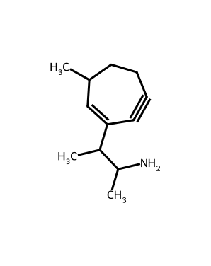 CC1C=C(C(C)C(C)N)C#CCC1